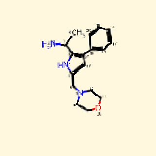 CC(N)c1[nH]c(CN2CCOCC2)cc1-c1ccccc1